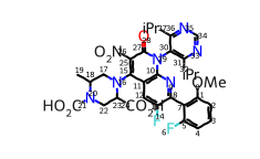 COc1cccc(F)c1-c1nc2c(cc1F)c(N1CC(C)N(C(=O)O)CC1C(=O)O)c([N+](=O)[O-])c(=O)n2-c1c(C(C)C)ncnc1C(C)C